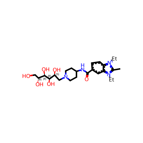 CCn1c(C)[n+](CC)c2ccc(C(=O)NC3CCN(C[C@H](O)[C@@H](O)[C@H](O)[C@H](O)CO)CC3)cc21